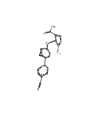 CC(=O)c1nnn(C)c1Oc1ccc(-c2ccc(C#N)cc2)cc1